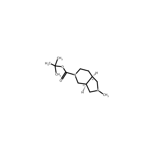 CN1C[C@@H]2CCN(C(=O)OC(C)(C)C)C[C@@H]2C1